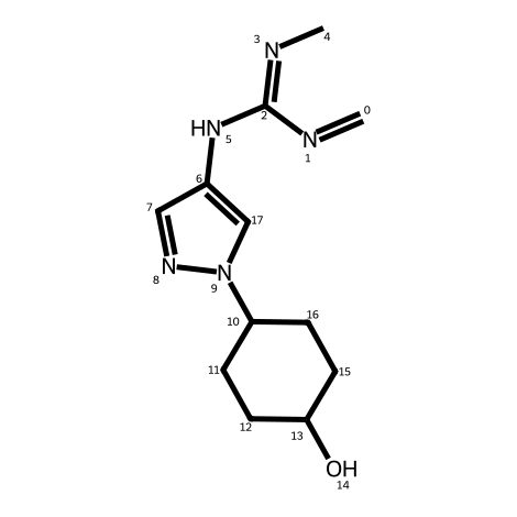 C=N/C(=N\C)Nc1cnn(C2CCC(O)CC2)c1